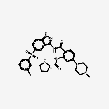 CN1CCN(c2ccc(C(=O)Nc3n[nH]c4ccc(S(=O)(=O)c5cccc(F)c5)cc34)c(NC(=O)[C@@H]3CCCN3)c2)CC1